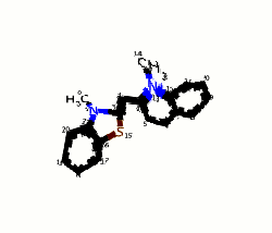 CN1/C(=C/c2ccc3ccccc3[n+]2C)Sc2ccccc21